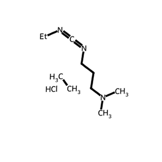 CC.CCN=C=NCCCN(C)C.Cl